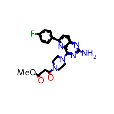 COC(=O)CC(=O)N1CCN(c2nc(N)nc3ccc(-c4ccc(F)cc4)nc23)CC1